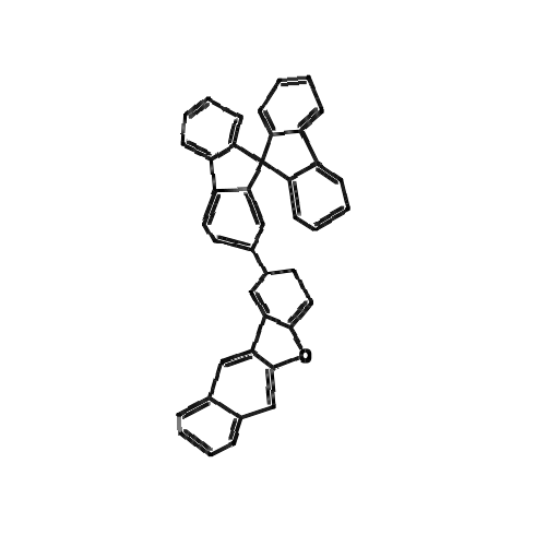 C1=c2oc3cc4ccccc4cc3c2=CC(c2ccc3c(c2)C2(c4ccccc4-c4ccccc42)c2ccccc2-3)C1